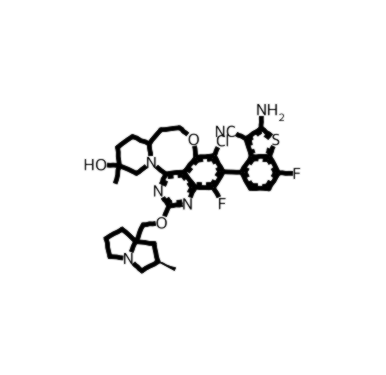 C[C@H]1CN2CCCC2(COc2nc3c4c(c(Cl)c(-c5ccc(F)c6sc(N)c(C#N)c56)c(F)c4n2)OCCC2CCC(C)(O)CN32)C1